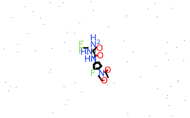 NC(=O)[C@H](NCC(F)F)C(=O)Nc1ccc(N2CCOCC2=O)c(F)c1